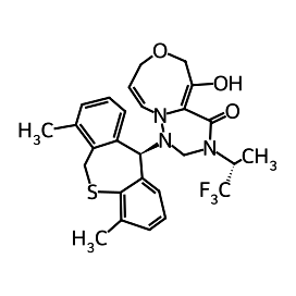 Cc1cccc2c1CSc1c(C)cccc1[C@@H]2N1CN([C@H](C)C(F)(F)F)C(=O)/C2=C(\O)COC/C=C\N21